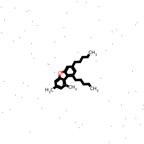 CCCCCc1cc(CCCCC)c2c(c1)oc1cc(C)cc(C)c12